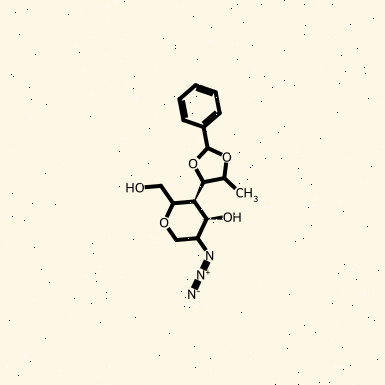 CC1OC(c2ccccc2)OC1[C@@H]1C(CO)OCC(N=[N+]=[N-])[C@@H]1O